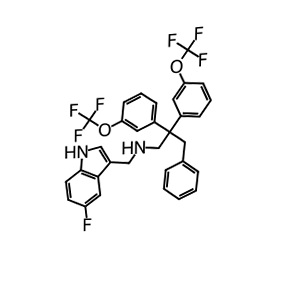 Fc1ccc2[nH]cc(CNCC(Cc3ccccc3)(c3cccc(OC(F)(F)F)c3)c3cccc(OC(F)(F)F)c3)c2c1